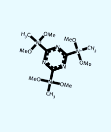 CO[N+](C)(OC)c1nc([N+](C)(OC)OC)nc([N+](C)(OC)OC)n1